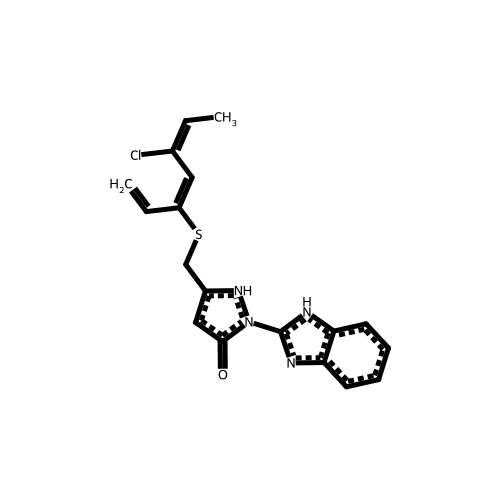 C=C/C(=C\C(Cl)=C/C)SCc1cc(=O)n(-c2nc3ccccc3[nH]2)[nH]1